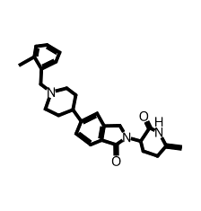 C=C1CCC(N2Cc3cc(C4CCN(Cc5ccccc5C)CC4)ccc3C2=O)C(=O)N1